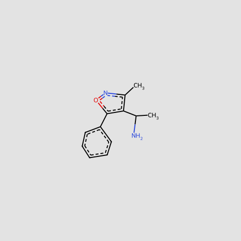 Cc1noc(-c2ccccc2)c1C(C)N